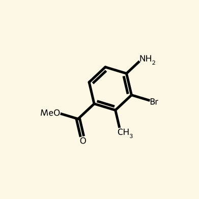 COC(=O)c1ccc(N)c(Br)c1C